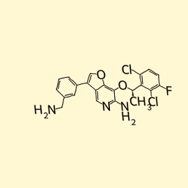 C[C@@H](Oc1c(N)ncc2c(-c3cccc(CN)c3)coc12)c1c(Cl)ccc(F)c1Cl